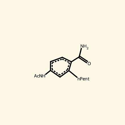 CCCCCc1cc(NC(C)=O)ccc1C(N)=O